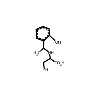 CC(NC(CS)C(=O)O)c1ccccc1O